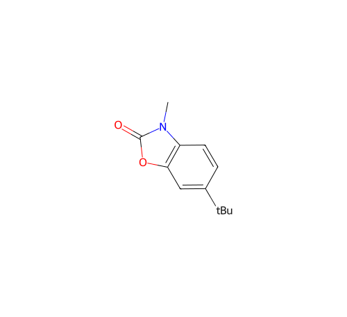 Cn1c(=O)oc2cc(C(C)(C)C)ccc21